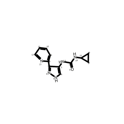 O=C(Nc1c[nH]nc1-c1ccccn1)NC1CC1